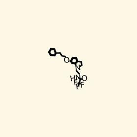 O=C(NCCN1CCc2ccc(OCCCc3ccccc3)cc21)C(F)(F)F